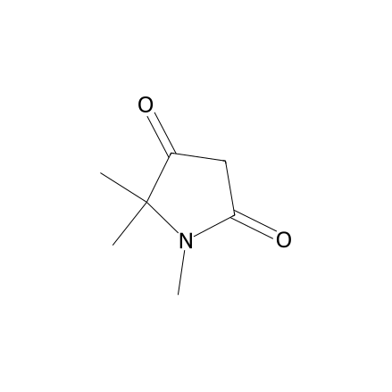 CN1C(=O)CC(=O)C1(C)C